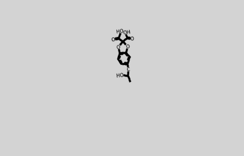 CC(O)Cc1ccc2c(c1)OC(C(=O)O)(C(=O)O)O2